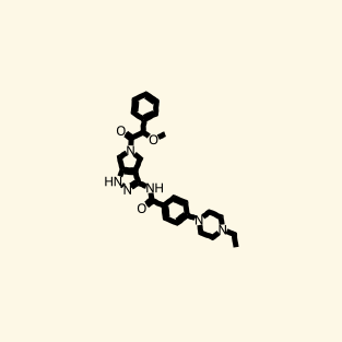 CCN1CCN(c2ccc(C(=O)Nc3n[nH]c4c3CN(C(=O)C(OC)c3ccccc3)C4)cc2)CC1